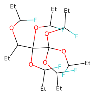 CCC(F)OC(CC)C(OC(F)CC)(OC(F)CC)C(OC(F)CC)(OC(F)CC)OC(F)CC